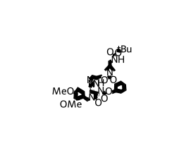 COc1ccc(CN2C(=O)[C@@H](NC(=O)OCc3ccccc3)[C@H]2Cn2ncc(COC(=O)N3CC(CNC(=O)OC(C)(C)C)C3)n2)c(OC)c1